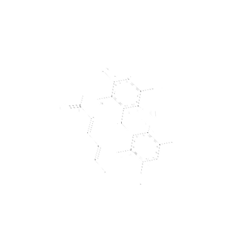 C/C=C/C=C/C(=O)O.Oc1c(Cl)cc(Cl)c(Cl)c1Cc1c(O)c(Cl)cc(Cl)c1Cl